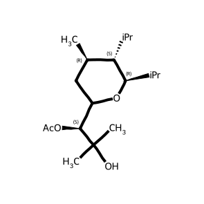 CC(=O)O[C@@H](C1C[C@@H](C)[C@H](C(C)C)[C@@H](C(C)C)O1)C(C)(C)O